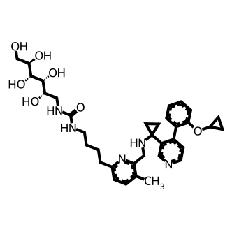 Cc1ccc(CCCCNC(=O)NC[C@H](O)[C@@H](O)[C@H](O)[C@H](O)CO)nc1CNC1(c2cnccc2-c2ccccc2OC2CC2)CC1